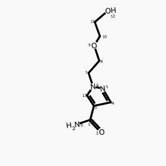 NC(=O)c1cnn(CCOCCO)c1